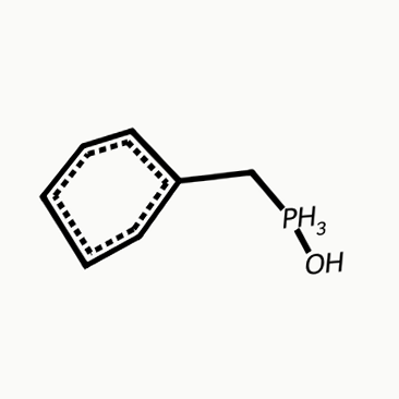 O[PH3]Cc1ccccc1